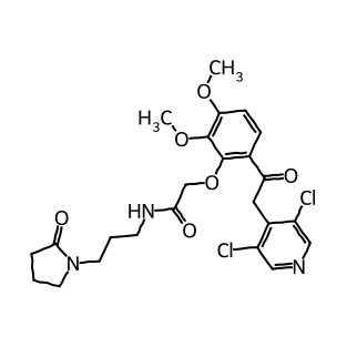 COc1ccc(C(=O)Cc2c(Cl)cncc2Cl)c(OCC(=O)NCCCN2CCCC2=O)c1OC